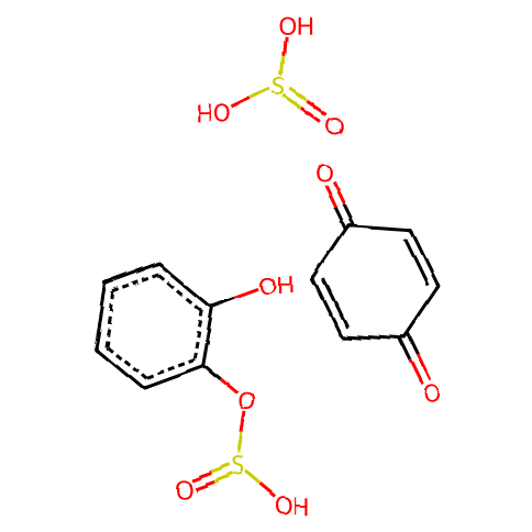 O=C1C=CC(=O)C=C1.O=S(O)O.O=S(O)Oc1ccccc1O